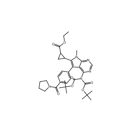 CCOC(=O)C1CC1c1c(-c2ccc(C(=O)N3CCCC3)cc2)c2c(N(C(=O)OC(C)(C)C)C(=O)OC(C)(C)C)ncnc2n1C